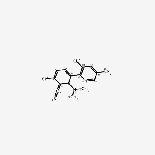 CN(C)C1C(=C=S)C(Cl)=CC=C1c1ncc(C(F)(F)F)cc1Cl